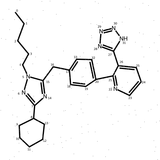 CCCCCn1nc(C2CCCCC2)nc1Cc1ccc(-c2ncccc2-c2nnn[nH]2)cc1